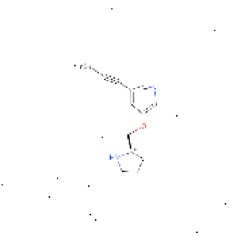 CCCCC#Cc1cncc(OC[C@H]2CCCN2)c1